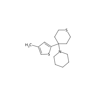 Cc1csc(C2(N3CCCCC3)CCSCC2)c1